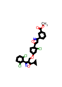 COC(=O)c1cccc(-c2cc(-c3ccc(OCc4c(-c5c(Cl)cccc5Cl)noc4C4CC4)cc3Cl)on2)c1